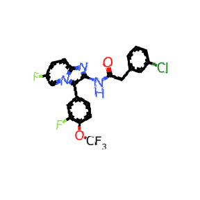 O=C(Cc1cccc(Cl)c1)Nc1nc2ccc(F)cn2c1-c1ccc(OC(F)(F)F)c(F)c1